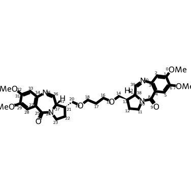 COc1cc2c(cc1OC)C(=O)N1CC[C@@H](COCCCOC[C@@H]3CCN4C(=O)c5cc(OC)c(OC)cc5N=C[C@H]34)[C@H]1C=N2